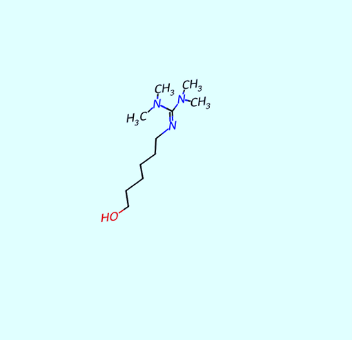 CN(C)C(=NCCCCCCO)N(C)C